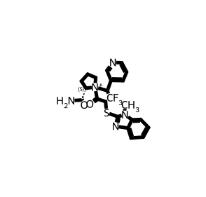 Cn1c(SCC(=O)[N+]2(C(c3cccnc3)C(F)(F)F)CCC[C@H]2C(N)=O)nc2ccccc21